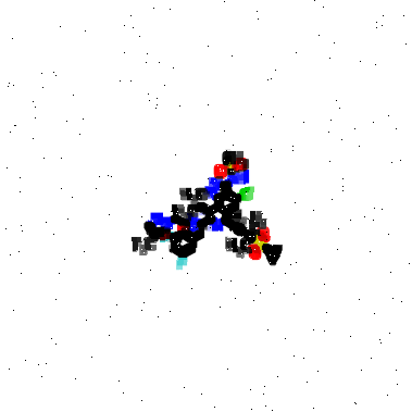 C=C(C#CC(C)(C)S(=O)(=O)C1CC1)/N=C(\C(=C/C)c1ccc(Cl)c2c(NS(C)(=O)=O)nn(C)c12)[C@H](Cc1cc(F)cc(F)c1)NC(=O)Cn1cc(C(F)(F)F)cn1